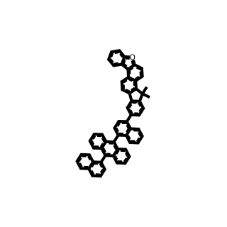 CC1(C)c2ccc(-c3ccc(-c4c5ccccc5c(-c5cccc6ccccc56)c5ccccc45)c4ccccc34)cc2-c2ccc3c(ccc4oc5ccccc5c43)c21